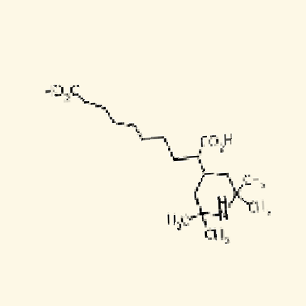 CC1(C)CC(C(CCCCCCCC(=O)O)C(=O)O)CC(C)(C)N1